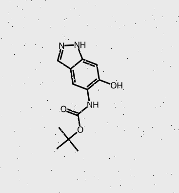 CC(C)(C)OC(=O)Nc1cc2cn[nH]c2cc1O